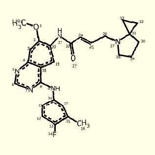 COc1cc2ncnc(Nc3ccc(F)c(C)c3)c2cc1NC(=O)/C=C/CN1CCCC12CC2